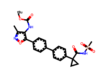 Cc1noc(-c2ccc(-c3ccc(C4(C(=O)NS(C)(=O)=O)CC4)cc3)cc2)c1NC(=O)OC(C)(C)C